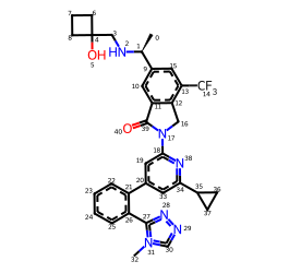 C[C@H](NCC1(O)CCC1)c1cc2c(c(C(F)(F)F)c1)CN(c1cc(-c3ccccc3-c3nncn3C)cc(C3CC3)n1)C2=O